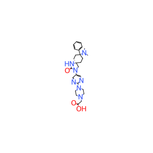 CN(C)[C@]1(c2ccccc2)CC[C@]2(CC1)CN(c1cnc(N3CCN(CC(=O)O)CC3)nc1)C(=O)N2